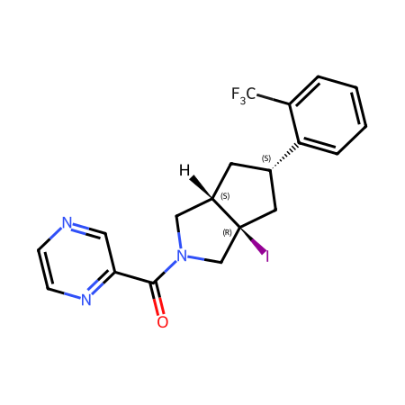 O=C(c1cnccn1)N1C[C@@H]2C[C@H](c3ccccc3C(F)(F)F)C[C@]2(I)C1